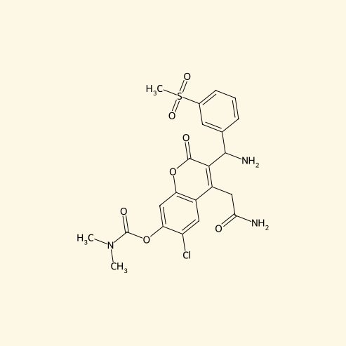 CN(C)C(=O)Oc1cc2oc(=O)c(C(N)c3cccc(S(C)(=O)=O)c3)c(CC(N)=O)c2cc1Cl